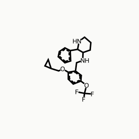 FC(F)(F)Oc1ccc(OCC2CC2)c(CNC2CCCNC2c2ccccc2)c1